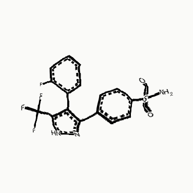 NS(=O)(=O)c1ccc(-c2n[nH]c(C(F)(F)F)c2-c2ccccc2F)cc1